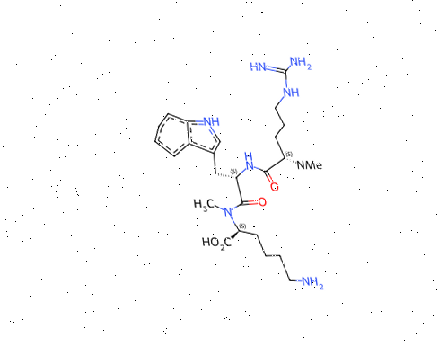 CN[C@@H](CCCNC(=N)N)C(=O)N[C@@H](Cc1c[nH]c2ccccc12)C(=O)N(C)[C@@H](CCCCN)C(=O)O